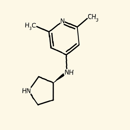 Cc1cc(N[C@H]2CCNC2)cc(C)n1